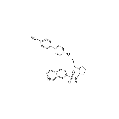 N#Cc1ccc(-c2ccc(OCCCN3CCCC3NS(=O)(=O)c3ccc4ccncc4c3)cc2)cc1